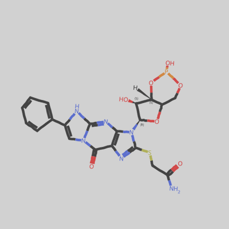 NC(=O)CSc1nc2c(=O)n3cc(-c4ccccc4)[nH]c3nc2n1[C@@H]1OC2COP(O)O[C@H]2[C@@H]1O